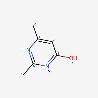 [CH2]c1cc(O)nc(C)n1